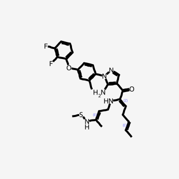 C/C=C/C/C=C(\NC/C=C(\C)NSC)C(=O)c1cnn(-c2ccc(Oc3cccc(F)c3F)cc2C)c1N